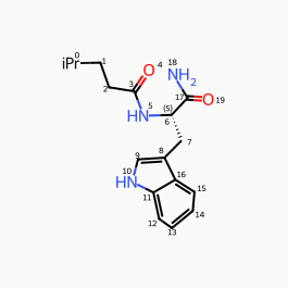 CC(C)CCC(=O)N[C@@H](Cc1c[nH]c2ccccc12)C(N)=O